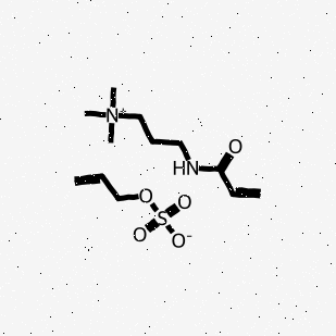 C=CC(=O)NCCC[N+](C)(C)C.C=CCOS(=O)(=O)[O-]